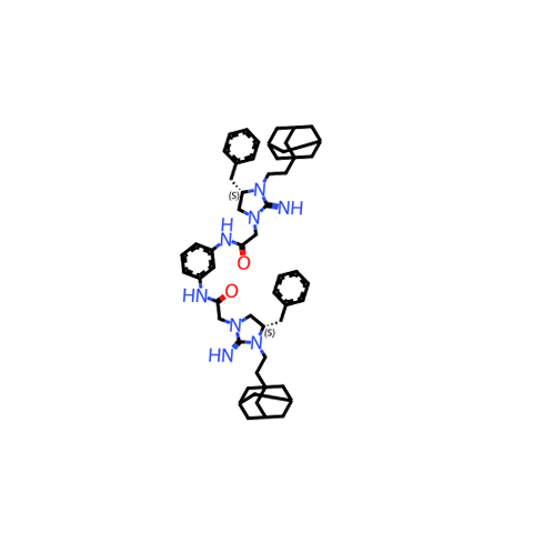 N=C1N(CC(=O)Nc2cccc(NC(=O)CN3C[C@H](Cc4ccccc4)N(CCC45CC6CC(CC(C6)C4)C5)C3=N)c2)C[C@H](Cc2ccccc2)N1CCC12CC3CC(CC(C3)C1)C2